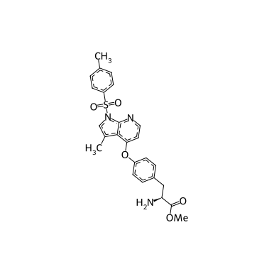 COC(=O)[C@@H](N)Cc1ccc(Oc2ccnc3c2c(C)cn3S(=O)(=O)c2ccc(C)cc2)cc1